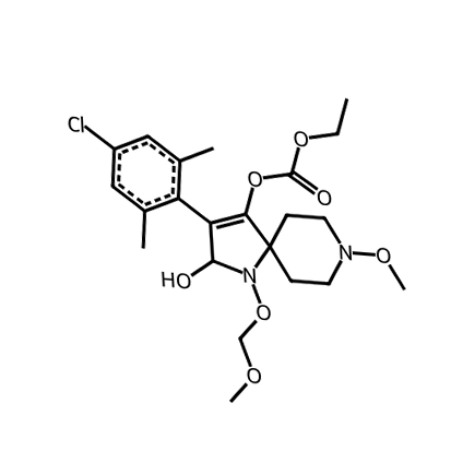 CCOC(=O)OC1=C(c2c(C)cc(Cl)cc2C)C(O)N(OCOC)C12CCN(OC)CC2